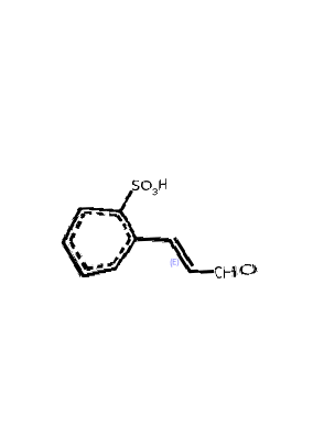 O=C/C=C/c1ccccc1S(=O)(=O)O